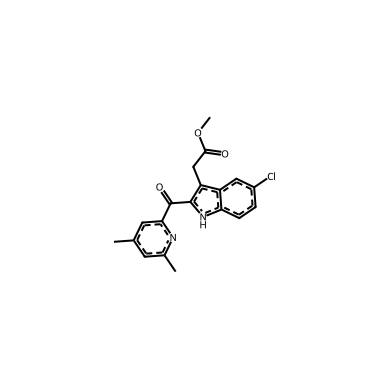 COC(=O)Cc1c(C(=O)c2cc(C)cc(C)n2)[nH]c2ccc(Cl)cc12